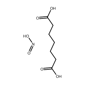 O=C(O)CCCCCC(=O)O.O=NO